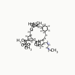 C=C(/C=C\C=C/C)[C@H]1CCc2cccc(c2)C[C@@](C)(N)C(=O)OCc2cc(cc(N(C)S(C)(=O)=O)c2)C(=O)N1